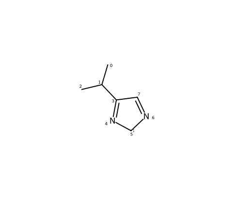 CC(C)C1=N[C]N=C1